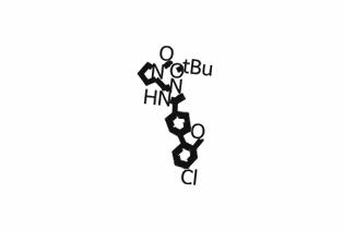 CC(C)(C)OC(=O)N1CCCC1c1ncc(-c2ccc3c(c2)OCc2cc(Cl)ccc2-3)[nH]1